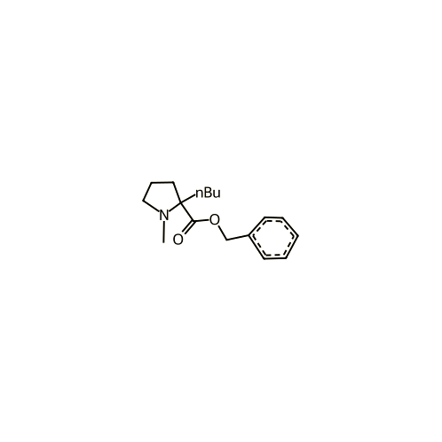 CCCCC1(C(=O)OCc2ccccc2)CCCN1C